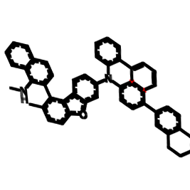 CNc1c(-c2c(C)ccc3oc4cc(N(c5ccc(-c6ccc7c(c6)CCCC7)cc5)c5ccccc5C5=CC=CCC5)ccc4c23)ccc2ccccc12